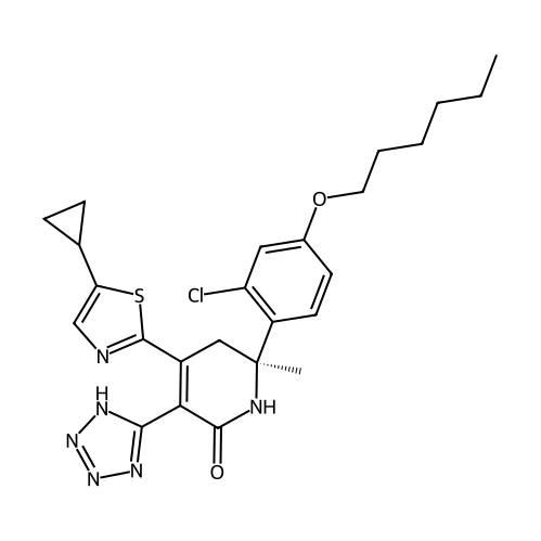 CCCCCCOc1ccc([C@]2(C)CC(c3ncc(C4CC4)s3)=C(c3nnn[nH]3)C(=O)N2)c(Cl)c1